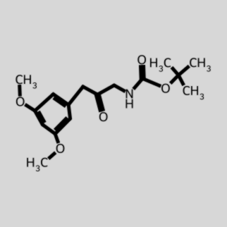 COc1cc(CC(=O)CNC(=O)OC(C)(C)C)cc(OC)c1